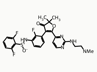 CNCCNc1nccc(C2=C(c3cccc(N[S+]([O-])c4c(F)cccc4F)c3F)C(=O)C(C)(C)O2)n1